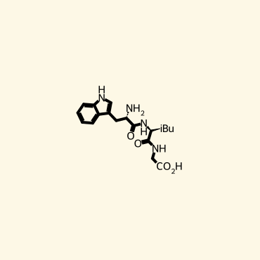 CC[C@H](C)[C@H](NC(=O)[C@@H](N)Cc1c[nH]c2ccccc12)C(=O)NCC(=O)O